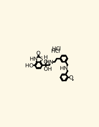 COc1ccccc1CNCc1cccc(CCNCC(O)(O)c2ccc(O)c3[nH]c(=O)sc23)c1.Cl.Cl